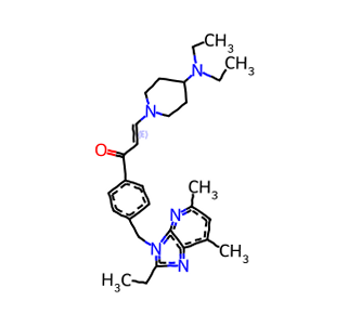 CCc1nc2c(C)cc(C)nc2n1Cc1ccc(C(=O)/C=C/N2CCC(N(CC)CC)CC2)cc1